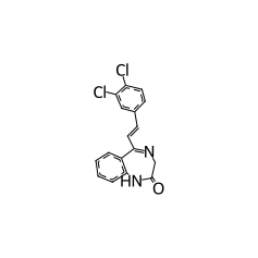 O=C1CN=C(C=Cc2ccc(Cl)c(Cl)c2)c2ccccc2N1